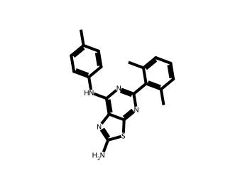 Cc1ccc(Nc2nc(-c3c(C)cccc3C)nc3sc(N)nc23)cc1